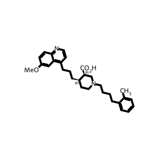 COc1ccc2nccc(CCC[C@@H]3CCN(CCCCc4ccccc4C)C[C@@H]3C(=O)O)c2c1